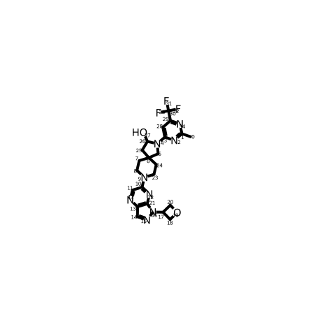 Cc1nc(N2CC3(CCN(c4cnc5cnn(C6COC6)c5n4)CC3)CC2O)cc(C(F)(F)F)n1